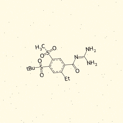 CCc1cc(S(=O)(=O)C(C)(C)C)c(S(C)(=O)=O)cc1C(=O)N=C(N)N